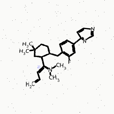 C=C/C=C(/C1CC(C)(C)CCC1Cc1ccc(-c2ccncn2)cc1F)N(C)C